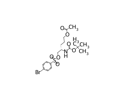 CC(=O)OCCC[C@@H](COS(=O)(=O)c1ccc(Br)cc1)NC(=O)OC(C)(C)C